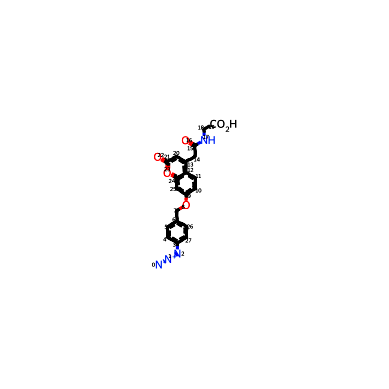 [N-]=[N+]=Nc1ccc(COc2ccc3c(CC(=O)NCC(=O)O)cc(=O)oc3c2)cc1